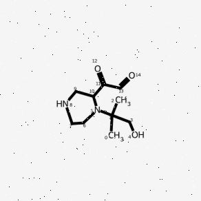 CC(C)(CO)N1CCNCC1C(=O)C=O